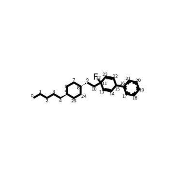 CCCCC[C@H]1CC[C@H](CCC2(F)C=CC(c3ccccc3)C=C2)CC1